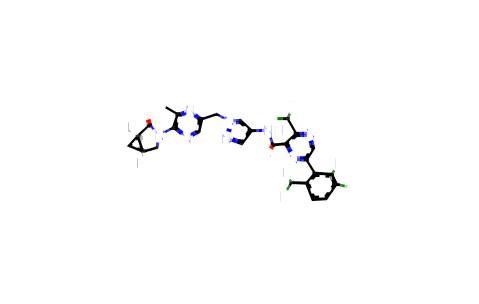 Cc1nc(Cn2cc(NC(=O)c3nc(-c4c(C(F)F)ccc(Cl)c4F)cnc3C(F)F)cn2)cnc1N1C[C@H]2C[C@H]2C1=O